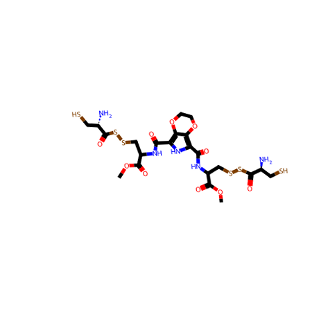 COC(=O)C(CSSC(=O)[C@@H](N)CS)NC(=O)c1[nH]c(C(=O)NC(CSSC(=O)[C@@H](N)CS)C(=O)OC)c2c1OCCO2